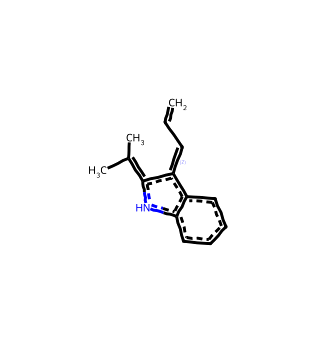 C=C/C=c1\c(=C(C)C)[nH]c2ccccc12